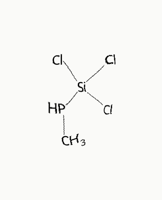 CP[Si](Cl)(Cl)Cl